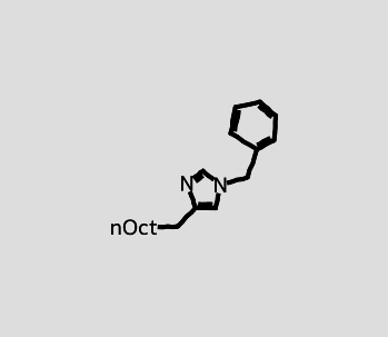 CCCCCCCCCc1cn(Cc2ccccc2)cn1